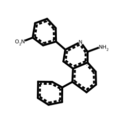 Nc1nc(-c2cccc([N+](=O)[O-])c2)cc2c(-c3ccccc3)cccc12